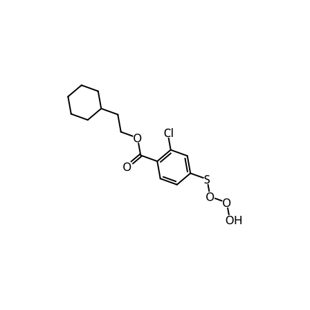 O=C(OCCC1CCCCC1)c1ccc(SOOO)cc1Cl